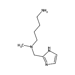 CN(CCCCN)Cc1ncc[nH]1